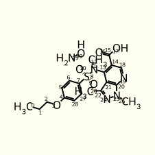 CCCOc1ccc(S(=O)(=O)N(C)c2c(C(=O)O)cnc3c2c(C)nn3C)cc1.NO